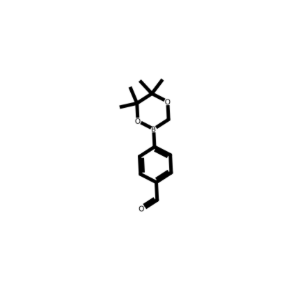 CC1(C)OCB(c2ccc(C=O)cc2)OC1(C)C